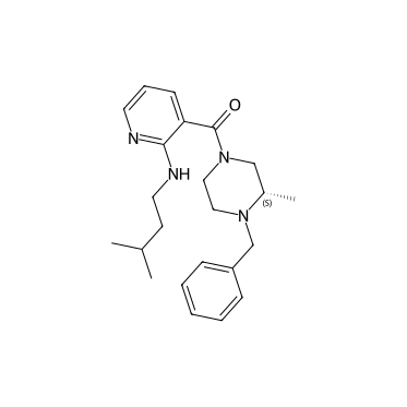 CC(C)CCNc1ncccc1C(=O)N1CCN(Cc2ccccc2)[C@@H](C)C1